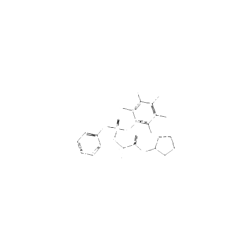 C[C@H](NP(=O)(Oc1ccccc1)Oc1c(F)c(F)c(F)c(F)c1F)C(=O)OC1CCCC1